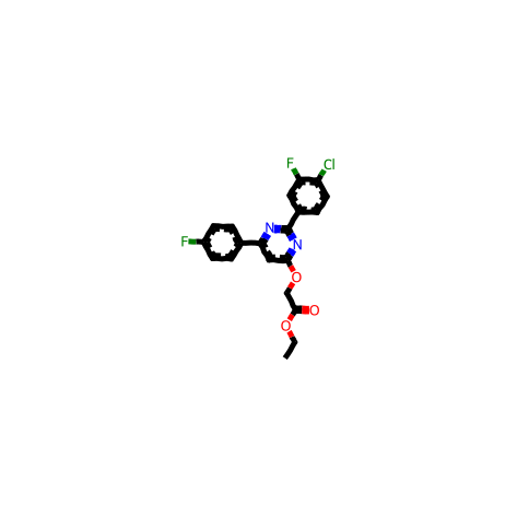 CCOC(=O)COc1cc(-c2ccc(F)cc2)nc(-c2ccc(Cl)c(F)c2)n1